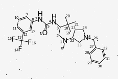 CN(CC(NC(=O)Nc1cccc(C(F)(F)F)c1)C(C)(C)C)C1CCN(Cc2ccccc2)C1